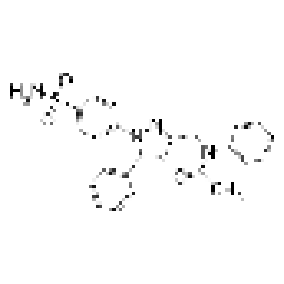 CC(=O)N(Cc1cc(-c2ccccc2)n(-c2ccc(S(N)(=O)=O)cc2)n1)c1ccccc1